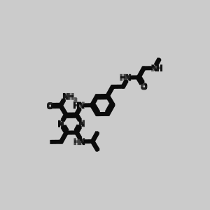 CCc1nc(C(N)=O)c(Nc2cccc(CCNC(=O)CNC)c2)nc1NC(C)C